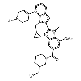 COc1cc(C(=O)N2CCC[C@@H](CN)C2)cc2nc(-c3cc4cccc(C5=CCN(C(C)=O)CC5)c4n3CC3CC3)n(C)c12